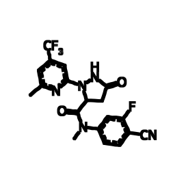 Cc1cc(C(F)(F)F)cc(N2NC(=O)CC2C(=O)N(C)c2ccc(C#N)c(F)c2)n1